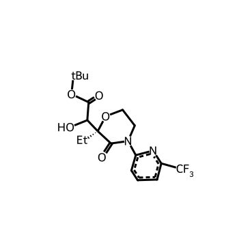 CC[C@]1(C(O)C(=O)OC(C)(C)C)OCCN(c2cccc(C(F)(F)F)n2)C1=O